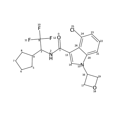 O=C(NC(C1CCCC1)C(F)(F)F)c1cn(C2COC2)c2cccc(Cl)c12